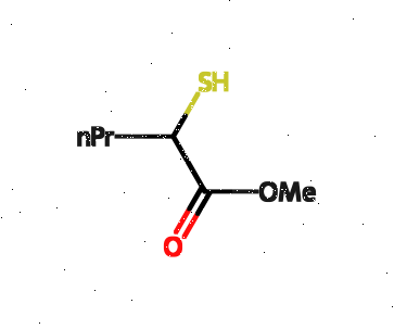 CCCC(S)C(=O)OC